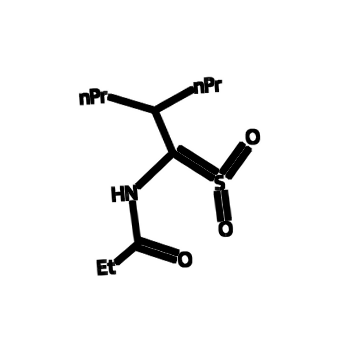 CCCC(CCC)C(NC(=O)CC)=S(=O)=O